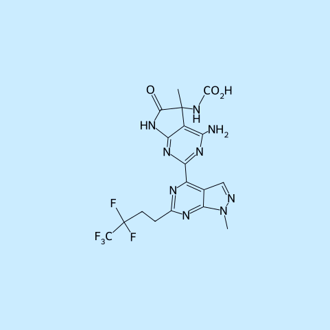 Cn1ncc2c(-c3nc(N)c4c(n3)NC(=O)C4(C)NC(=O)O)nc(CCC(F)(F)C(F)(F)F)nc21